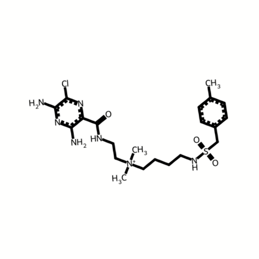 Cc1ccc(CS(=O)(=O)NCCCC[N+](C)(C)CCNC(=O)c2nc(Cl)c(N)nc2N)cc1